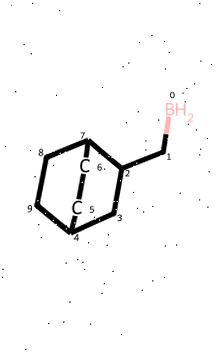 BCC1CC2CCC1CC2